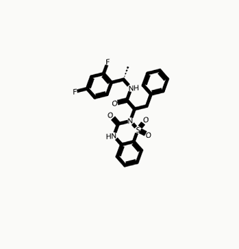 C[C@H](NC(=O)C(Cc1ccccc1)N1C(=O)Nc2ccccc2S1(=O)=O)c1ccc(F)cc1F